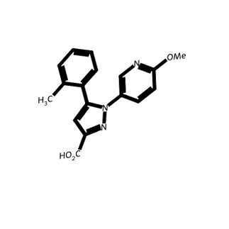 COc1ccc(-n2nc(C(=O)O)cc2-c2ccccc2C)cn1